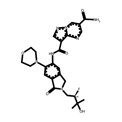 CC(C)(O)[C@H](F)CN1Cc2cc(NC(=O)c3cnn4cc(C(N)=O)cnc34)c(N3CCOCC3)cc2C1=O